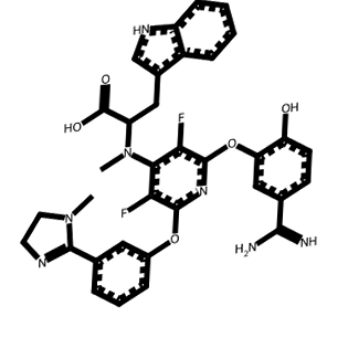 CN1CCN=C1c1cccc(Oc2nc(Oc3cc(C(=N)N)ccc3O)c(F)c(N(C)C(Cc3c[nH]c4ccccc34)C(=O)O)c2F)c1